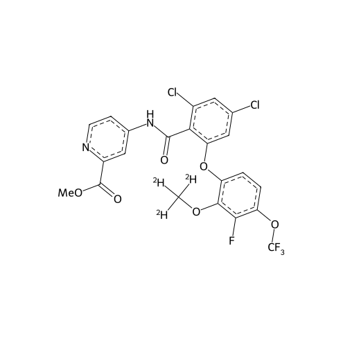 [2H]C([2H])([2H])Oc1c(Oc2cc(Cl)cc(Cl)c2C(=O)Nc2ccnc(C(=O)OC)c2)ccc(OC(F)(F)F)c1F